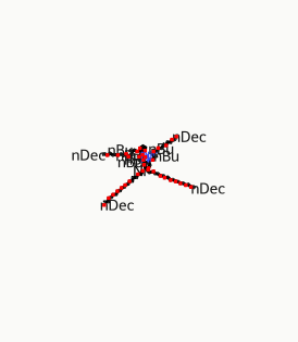 CCCCCCCCCCCCCCCCCCCC(=CC(CCCC)CCc1ccccc1C1=C(CCCC)C(CCCC)=C(c2ccccc2CCC(C=C(CCCC)CCCCCCCCCCCCCCCCCCC)CCCC)[N+]1=[N-])CCCC.CCCCCCCCCCCCCCCCCCCCCCCCCCCC=[CH][Ni][CH]=CCCCCCCCCCCCCCCCCCCCCCCCCCCC